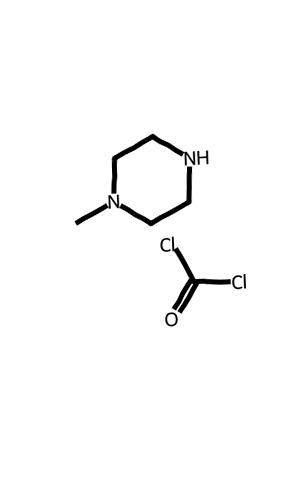 CN1CCNCC1.O=C(Cl)Cl